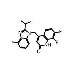 Cc1cccc2c1nc(C(C)C)n2Cc1cc(=O)[nH]c2c(F)c(F)ccc12